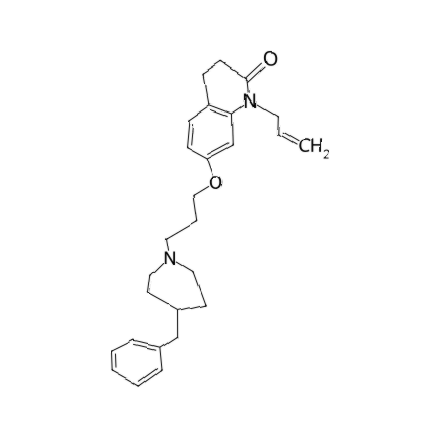 C=CCN1C(=O)CCc2ccc(OCCCN3CCC(Cc4ccccc4)CC3)cc21